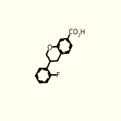 O=C(O)c1ccc2c(c1)OCC(c1ccccc1F)C2